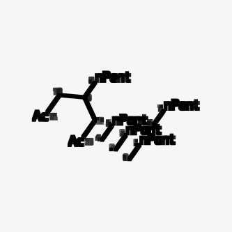 CCCCCC.CCCCCC.CCCCCC.CCCCCC.CCCCCC(CC(C)=O)CC(C)=O